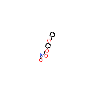 O=C=NC(=O)COc1ccc(OCc2ccccc2)cc1